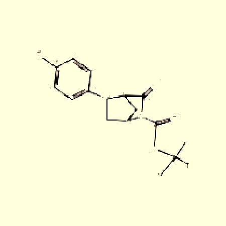 CC(C)(C)OC(=O)N1C(=O)C2CC1C[C@H]2c1ccc(Cl)cc1